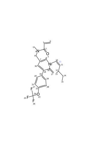 C=CC(=O)N(C)CC1=CN(/C=C\C(C)CC)C(=C)C(c2ccc(OC(F)(F)F)cc2)=C1